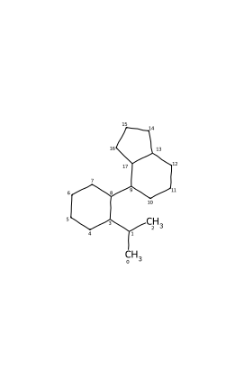 CC(C)C1CCCCC1C1CCCC2CCCC21